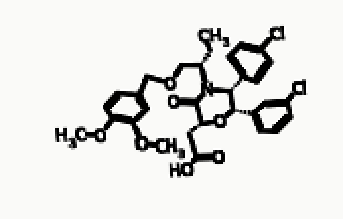 CC[C@@H](COCc1ccc(OC)c(OC)c1)N1C(=O)[C@@H](CC(=O)O)O[C@@H](c2cccc(Cl)c2)[C@H]1c1ccc(Cl)cc1